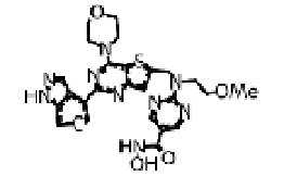 COCCN(Cc1cc2nc(-c3cccc4[nH]ncc34)nc(N3CCOCC3)c2s1)c1ncc(C(=O)NO)cn1